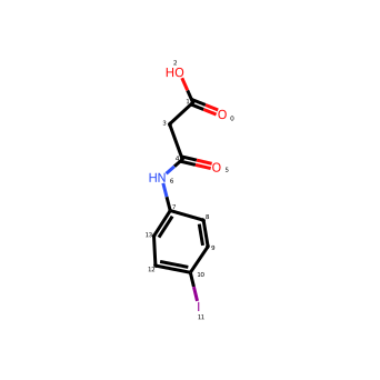 O=C(O)CC(=O)Nc1ccc(I)cc1